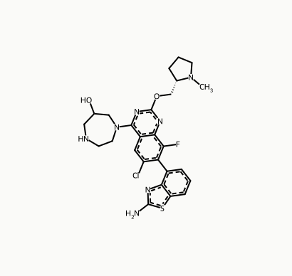 CN1CCC[C@H]1COc1nc(N2CCNCC(O)C2)c2cc(Cl)c(-c3cccc4sc(N)nc34)c(F)c2n1